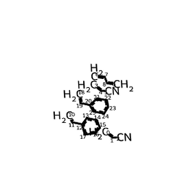 C=CC#N.C=CC#N.C=CC=C.C=Cc1ccccc1.C=Cc1ccccc1